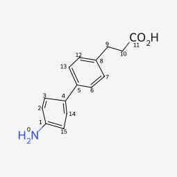 Nc1ccc(-c2ccc(CCC(=O)O)cc2)cc1